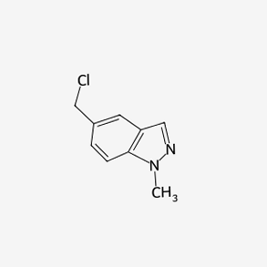 Cn1ncc2cc(CCl)ccc21